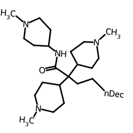 CCCCCCCCCCCCC(C(=O)NC1CCN(C)CC1)(C1CCN(C)CC1)C1CCN(C)CC1